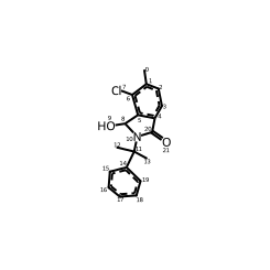 Cc1ccc2c(c1Cl)C(O)N(C(C)(C)c1ccccc1)C2=O